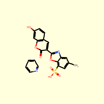 Cc1cc(S(=O)(=O)O)c2oc(-c3cc4ccc(O)cc4oc3=O)nc2c1.c1ccncc1